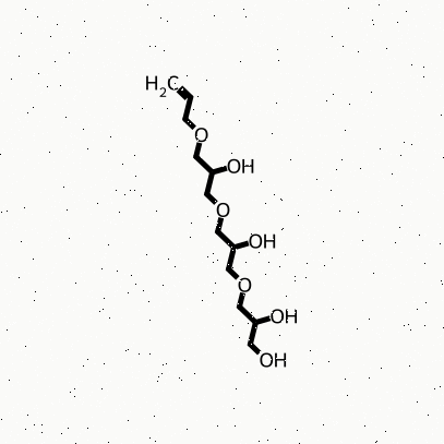 C=CCOCC(O)COCC(O)COCC(O)CO